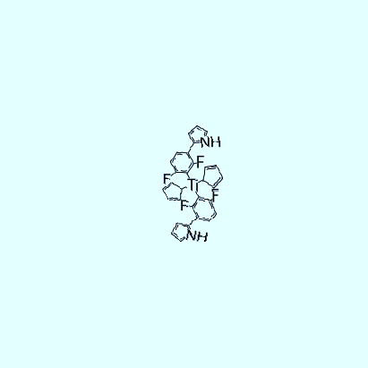 Fc1ccc(-c2ccc[nH]2)c(F)[c]1[Ti]([c]1c(F)ccc(-c2ccc[nH]2)c1F)([CH]1C=CC=C1)[CH]1C=CC=C1